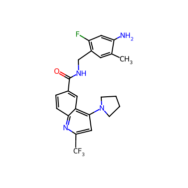 Cc1cc(CNC(=O)c2ccc3nc(C(F)(F)F)cc(N4CCCC4)c3c2)c(F)cc1N